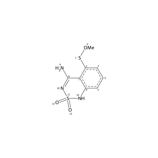 COSc1cccc2c1C(N)=NS(=O)(=O)N2